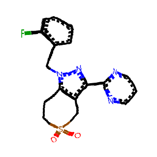 O=S1(=O)CCc2c(c(-c3ncccn3)nn2Cc2ccccc2F)C1